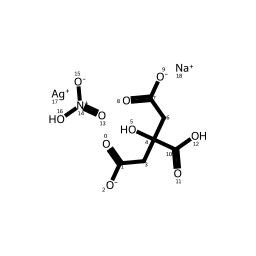 O=C([O-])CC(O)(CC(=O)[O-])C(=O)O.O=[N+]([O-])O.[Ag+].[Na+]